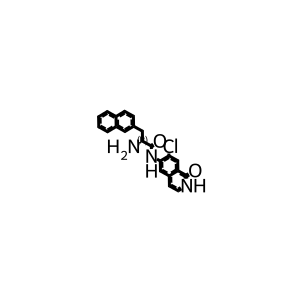 N[C@H](Cc1ccc2ccccc2c1)C(=O)Nc1cc2cc[nH]c(=O)c2cc1Cl